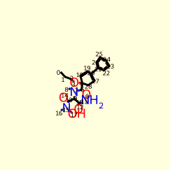 CCCOC1(C(=O)N(C)C(C(N)=O)C(=O)N(C)O)C=CC(c2ccccc2)=CC1